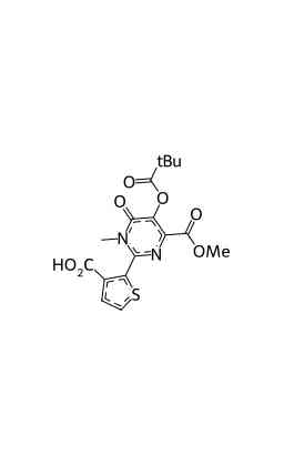 COC(=O)c1nc(-c2sccc2C(=O)O)n(C)c(=O)c1OC(=O)C(C)(C)C